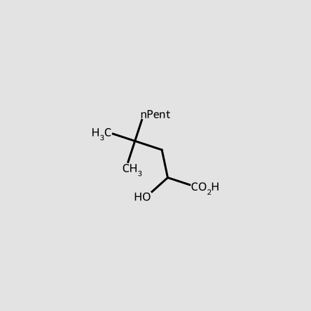 CCCCCC(C)(C)CC(O)C(=O)O